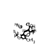 Cc1cc(OC(F)(F)F)cc2c1OC(C(F)(F)F)C(C(=O)O)=C2.[NaH]